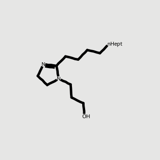 CCCCCCCCCCCC1=NCCN1CCCO